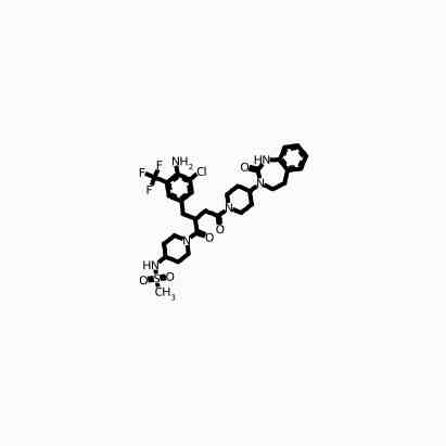 CS(=O)(=O)NC1CCN(C(=O)C(CC(=O)N2CCC(N3CCc4ccccc4NC3=O)CC2)Cc2cc(Cl)c(N)c(C(F)(F)F)c2)CC1